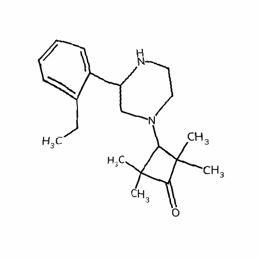 CCc1ccccc1C1CN(C2C(C)(C)C(=O)C2(C)C)CCN1